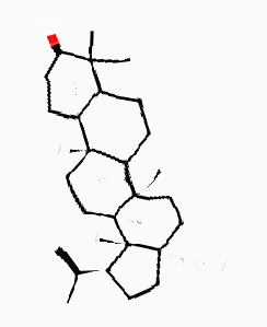 C=C(C)[C@@H]1CC[C@]2(C(=O)O)CC[C@]3(C)[C@H](CC[C@@H]4[C@@]5(C)CCC(=O)C(C)(C)C5CC[C@]43C)[C@@H]12